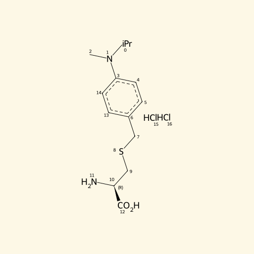 CC(C)N(C)c1ccc(CSC[C@H](N)C(=O)O)cc1.Cl.Cl